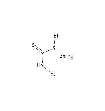 CCNC(=S)SCC.[Cd].[Zn]